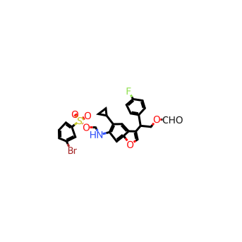 O=COCC(c1ccc(F)cc1)c1coc2cc(NCOS(=O)(=O)c3cccc(Br)c3)c(C3CC3)cc12